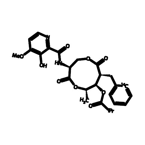 COc1ccnc(C(=O)N[C@H]2COC(=O)[C@H](Cc3cccc[14cH]3)[C@@H](OC(=O)C(C)C)[C@H](C)OC2=O)c1O